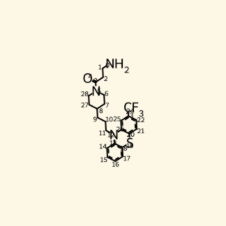 NCCC(=O)N1CCC(CCCN2c3ccccc3Sc3ccc(C(F)(F)F)cc32)CC1